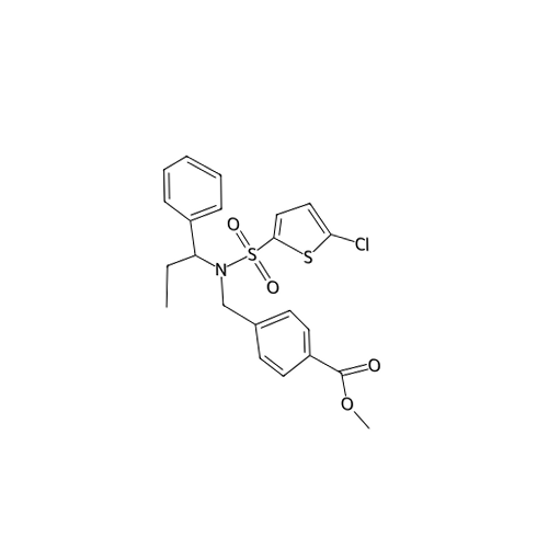 CCC(c1ccccc1)N(Cc1ccc(C(=O)OC)cc1)S(=O)(=O)c1ccc(Cl)s1